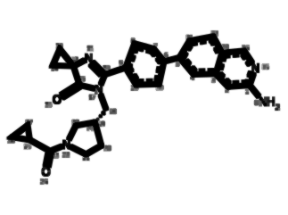 Nc1cc2cc(-c3ccc(C4=NC5(CC5)C(=O)N4C[C@@H]4CCN(C(=O)C5CC5)C4)cc3)ccc2cn1